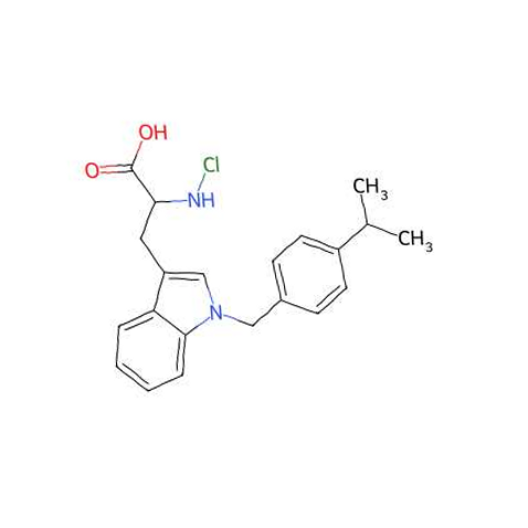 CC(C)c1ccc(Cn2cc(CC(NCl)C(=O)O)c3ccccc32)cc1